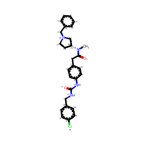 CN(C(=O)Cc1ccc(NC(=O)NCc2ccc(Cl)cc2)cc1)[C@@H]1CCN(Cc2ccccc2)C1